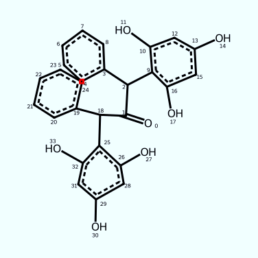 O=C(C(c1ccccc1)c1c(O)cc(O)cc1O)C(c1ccccc1)c1c(O)cc(O)cc1O